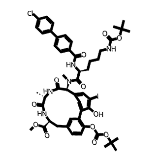 COC(=O)[C@@H]1Cc2ccc(OC(=O)OC(C)(C)C)c(c2)-c2cc(cc(I)c2O)[C@H](N(C)C(=O)[C@H](CCCCNC(=O)OC(C)(C)C)NC(=O)c2ccc(-c3ccc(Cl)cc3)cc2)C(=O)N[C@@H](C)C(=O)N1